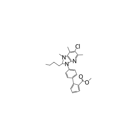 CCCCC1N(C)c2c(nc(C)c(Cl)c2C)N1c1ccc(-c2ccccc2C(=O)OC)cc1